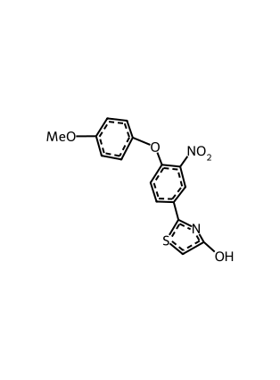 COc1ccc(Oc2ccc(-c3nc(O)cs3)cc2[N+](=O)[O-])cc1